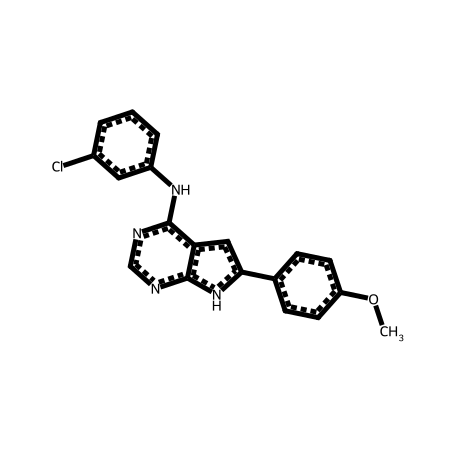 COc1ccc(-c2cc3c(Nc4cccc(Cl)c4)ncnc3[nH]2)cc1